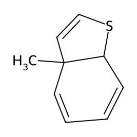 CC12C=CC=CC1SC=C2